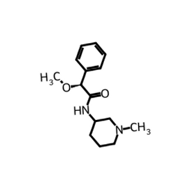 CO[C@H](C(=O)NC1CCCN(C)C1)c1ccccc1